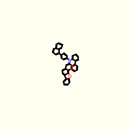 c1ccc(-c2ccccc2N(c2ccc(-c3cccc4ccccc34)cc2)c2ccc3c(ccc4c5ccccc5oc34)c2)cc1